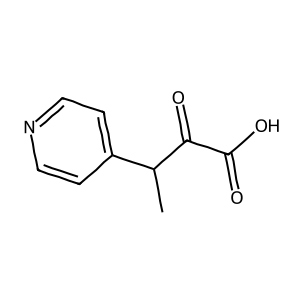 CC(C(=O)C(=O)O)c1ccncc1